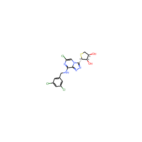 O[C@@H]1[C@H](O)CS[C@H]1c1nnc2c(NCc3cc(Cl)cc(Cl)c3)nc(Cl)cn12